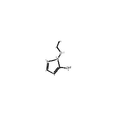 CCOn1nccc1O